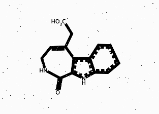 O=C(O)CC1=CCNC(=O)c2[nH]c3ccccc3c21